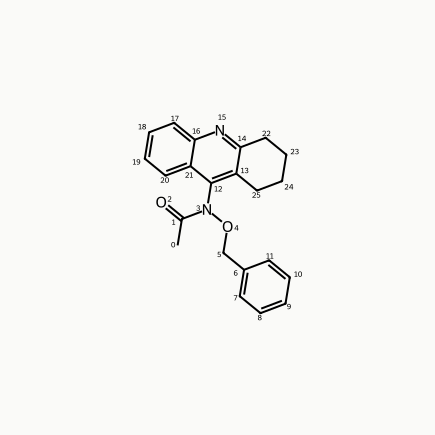 CC(=O)N(OCc1ccccc1)c1c2c(nc3ccccc13)CCCC2